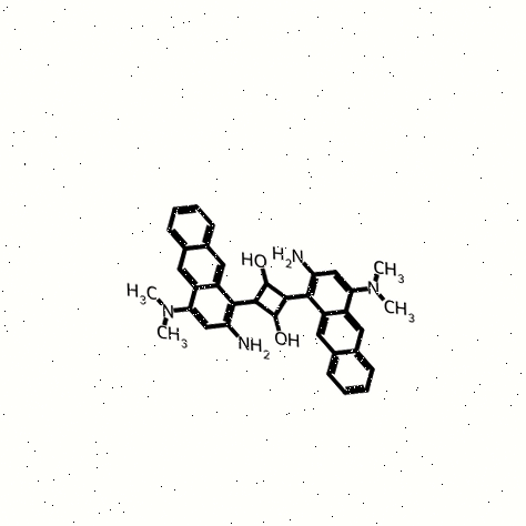 CN(C)c1cc(N)c(C2C(O)C(c3c(N)cc(N(C)C)c4cc5ccccc5cc34)C2O)c2cc3ccccc3cc12